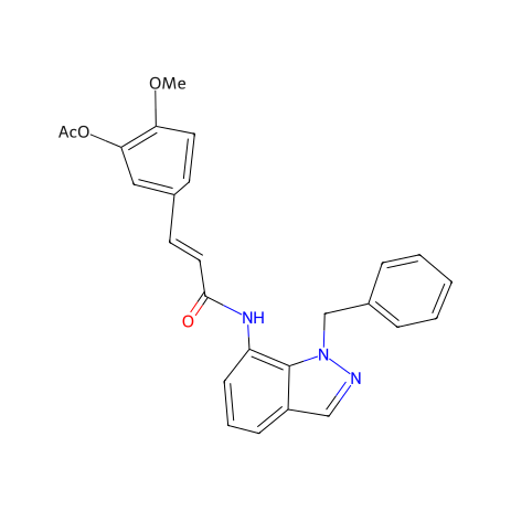 COc1ccc(C=CC(=O)Nc2cccc3cnn(Cc4ccccc4)c23)cc1OC(C)=O